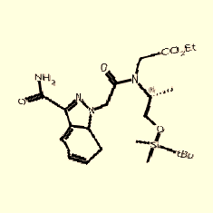 CCOC(=O)CN(C(=O)CN1N=C(C(N)=O)C2=CC=CCC21)[C@H](C)CO[Si](C)(C)C(C)(C)C